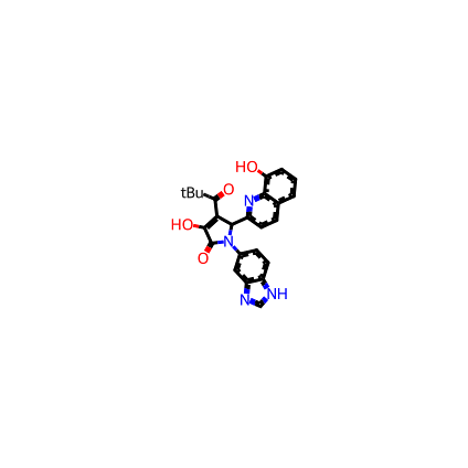 CC(C)(C)C(=O)C1=C(O)C(=O)N(c2ccc3[nH]cnc3c2)C1c1ccc2cccc(O)c2n1